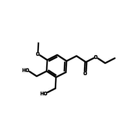 CCOC(=O)Cc1cc(CO)c(CO)c(OC)c1